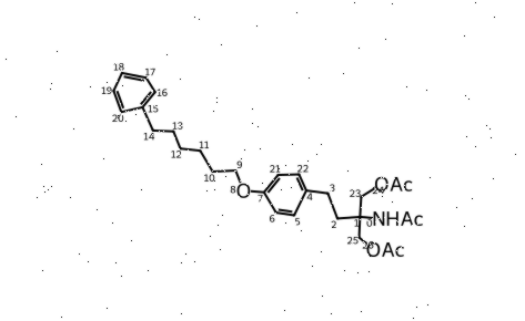 CC(=O)NC(CCc1ccc(OCCCCCCc2ccccc2)cc1)(COC(C)=O)COC(C)=O